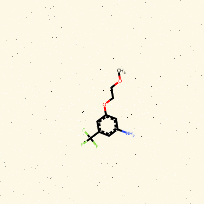 COCCOc1cc(N)cc(C(F)(F)F)c1